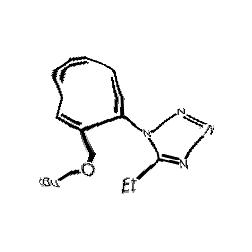 CCc1nnnn1-c1ccccc1OC(C)(C)C